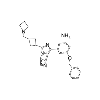 N.c1ccc(COc2cccc(-c3nc(C4CC(CN5CCC5)C4)n4c5cnc-5c34)c2)cc1